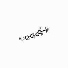 CC1CCC(c2cnc(-c3ccc4c(F)c(C#CC(F)(F)F)c(F)cc4c3)nc2)OC1